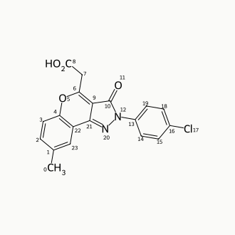 Cc1ccc2oc(CC(=O)O)c3c(=O)n(-c4ccc(Cl)cc4)nc-3c2c1